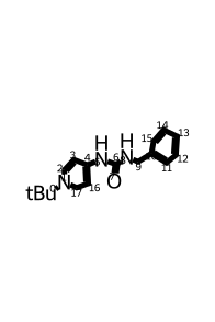 CC(C)(C)N1C=CC(NC(=O)NCc2ccccc2)=CC1